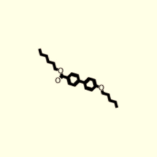 CCCCCCOC(=O)c1ccc(-c2ccc(OCCCCC)cc2)cc1